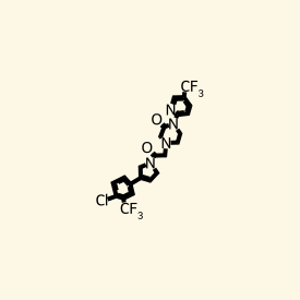 O=C(CN1CCN(c2ccc(C(F)(F)F)cn2)C(=O)C1)N1CC=C(c2ccc(Cl)c(C(F)(F)F)c2)C1